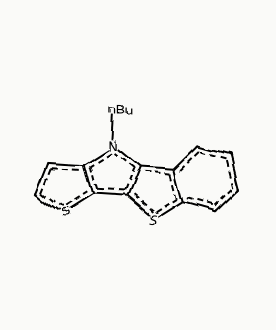 CCCCn1c2ccsc2c2sc3ccccc3c21